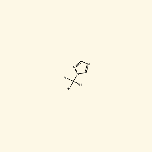 [2H]C([2H])([2H])n1cncn1